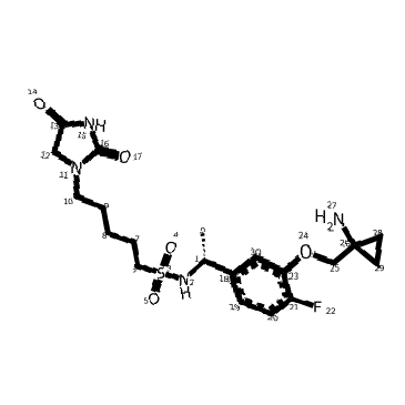 C[C@@H](NS(=O)(=O)CCCCCN1CC(=O)NC1=O)c1ccc(F)c(OCC2(N)CC2)c1